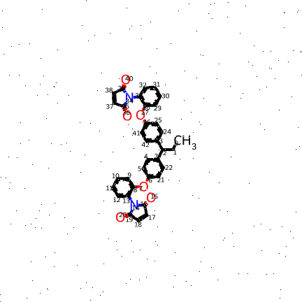 CCC(c1ccc(Oc2ccccc2N2C(=O)C=CC2=O)cc1)c1ccc(Oc2ccccc2N2C(=O)C=CC2=O)cc1